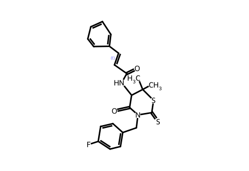 CC1(C)SC(=S)N(Cc2ccc(F)cc2)C(=O)C1NC(=O)/C=C/c1ccccc1